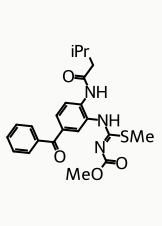 COC(=O)N=C(Nc1cc(C(=O)c2ccccc2)ccc1NC(=O)CC(C)C)SC